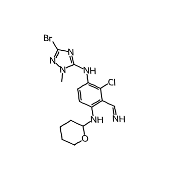 Cn1nc(Br)nc1Nc1ccc(NC2CCCCO2)c(C=N)c1Cl